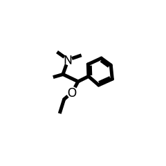 CCOC(c1ccccc1)C(C)N(C)C